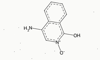 Nc1c[n+]([O-])c(O)c2ccccc12